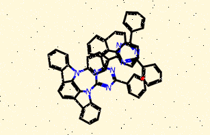 c1ccc(-c2nc(-c3ccccc3)nc(-c3ccc(-n4c5ccccc5c5ccc6c7ccccc7n(-c7nc(-c8ccccc8)nc(-c8cccc9ccc%10ccccc%10c89)n7)c6c54)cc3)n2)cc1